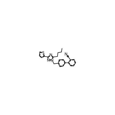 CCCCc1nc(-c2cccs2)nn1Cc1ccc(-c2ccccc2C#N)cc1